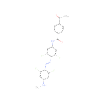 CC(C)(C)Nc1cc(F)c(/N=N/c2c(F)cc(NC(=O)c3ccc(C(=O)C(C)(C)C)cc3)cc2F)c(F)c1